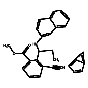 C#Cc1cccc(C(=O)OC)c1C(CC)Nc1ccc2ccccc2c1.c1cc2cc-2c1